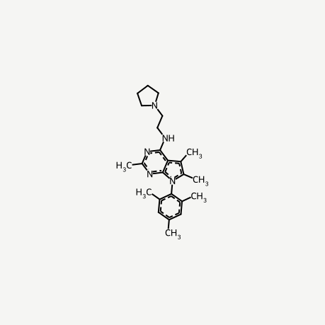 Cc1cc(C)c(-n2c(C)c(C)c3c(NCCN4CCCC4)nc(C)nc32)c(C)c1